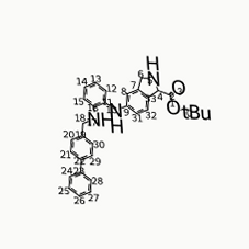 CC(C)(C)OC(=O)C1NCc2cc(Nc3ccccc3NCc3ccc(-c4ccccc4)cc3)ccc21